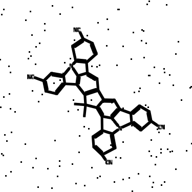 CC1(C)c2c(cc3c4ccc(C#N)cc4n4c5cc(C#N)ccc5c2c34)-c2cc3c4ccc(C#N)cc4n4c5cc(C#N)ccc5c(c21)c34